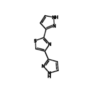 c1cc(-c2csc(-c3cc[nH]n3)n2)n[nH]1